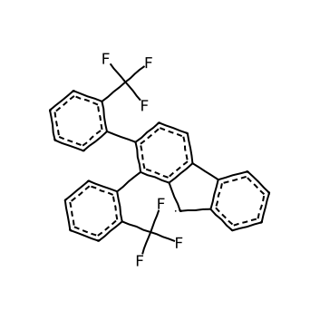 FC(F)(F)c1ccccc1-c1ccc2c(c1-c1ccccc1C(F)(F)F)[CH]c1ccccc1-2